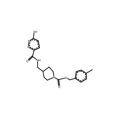 Cc1ccc(COC(=O)N2CCC(CNC(=O)c3ccc(O)nn3)CC2)cc1